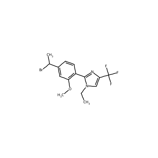 CCn1cc(C(F)(F)F)nc1-c1ccc(C(C)Br)cc1OC